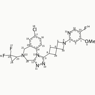 COc1cc(N2CC3(CC(c4nnc5n4-c4ccc(Cl)cc4CN(C4CC4(F)F)C5)C3)C2)ncc1F